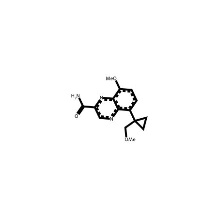 COCC1(c2ccc(OC)c3nc(C(N)=O)cnc23)CC1